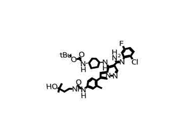 Cc1cc(NC(=O)NCCC(C)(C)O)ccc1-c1cc2c(N[C@H]3CC[C@H](NC(=O)OC(C)(C)C)CC3)c(C(N)=Nc3cc(F)ccc3Cl)cnn2c1